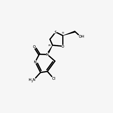 Nc1nc(=O)n([C@H]2CS[C@@H](CO)O2)cc1Cl